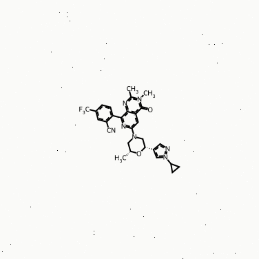 Cc1nc2c(-c3ccc(C(F)(F)F)cc3C#N)nc(N3C[C@@H](C)O[C@@H](c4cnn(C5CC5)c4)C3)cc2c(=O)n1C